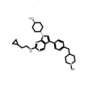 CCCN1CCC(Cc2ccc(-c3cn([C@H]4CC[C@H](O)CC4)c4nc(NCCC5CC5)ncc34)cc2)CC1